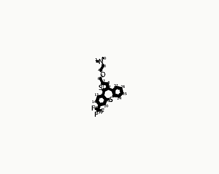 CN(C)CCOCc1cc2c(s1)-c1ccc(C(F)(F)F)cc1Sc1ccccc1-2